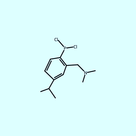 CC(C)c1ccc(P(Cl)Cl)c(CN(C)C)c1